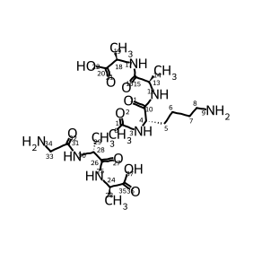 CC(=O)N[C@@H](CCCCN)C(=O)N[C@H](C)C(=O)N[C@H](C)C(=O)O.C[C@@H](NC(=O)[C@@H](C)NC(=O)CN)C(=O)O